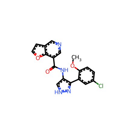 COc1ccc(Cl)cc1-c1n[nH]cc1NC(=O)c1cncc2ccoc12